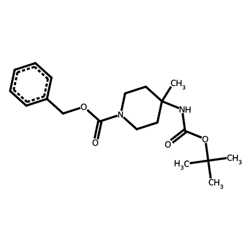 CC1(NC(=O)OC(C)(C)C)CCN(C(=O)OCc2ccccc2)CC1